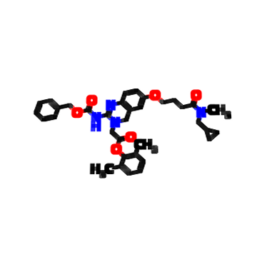 Cc1cccc(C)c1OC(=O)CN1Cc2cc(OCCCC(=O)N(C)CC3CC3)ccc2N=C1NC(=O)OCc1ccccc1